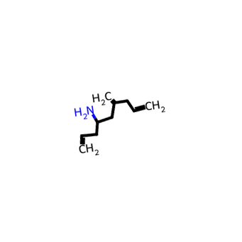 C=CCC(=C)CC(N)CC=C